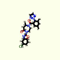 Cc1cc(C)c(-n2nccn2)c(C(=O)N2CCN(c3nc4cc(Cl)ccc4o3)C(=O)CC2C)c1